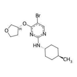 C[C@H]1CC[C@H](Nc2ncc(Br)c(O[C@@H]3CCOC3)n2)CC1